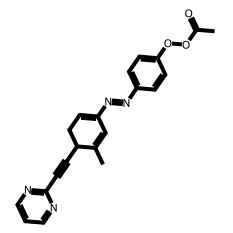 CC(=O)OOc1ccc(/N=N/C2=CCC(C#Cc3ncccn3)C(C)=C2)cc1